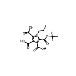 CCCn1c(C(=O)O)c(C(=O)O)c(C(=O)O)c1C(=O)OC(C)(C)C